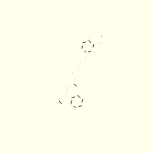 COc1ccc(C(CC(=O)O)NC(=O)C2CN(CCc3ccc4c(n3)NCCC4)C2)cc1F